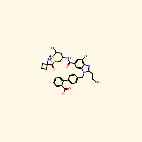 CCCc1nc2c(C)cc(C(=O)N[C@@H](CSC(=O)C3(N)CCC3)CC(C)C)cc2n1Cc1ccc(-c2ccccc2C(=O)O)cc1